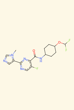 Cn1cncc1-c1ncc(F)c(C(=O)NC2CCC(OC(F)F)CC2)n1